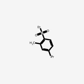 CCS(=O)(=O)c1ccc(C(C)C)cc1C